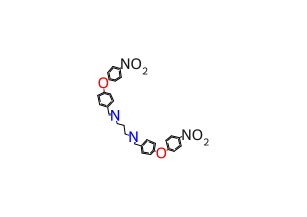 O=[N+]([O-])c1ccc(Oc2ccc(C=NCCCN=Cc3ccc(Oc4ccc([N+](=O)[O-])cc4)cc3)cc2)cc1